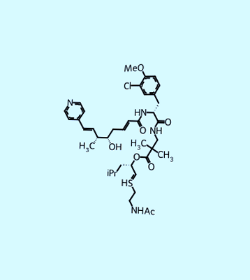 COc1ccc(C[C@@H](NC(=O)/C=C/C[C@H](O)[C@H](C)/C=C/c2ccncc2)C(=O)NCC(C)(C)C(=O)O[C@H](C=[SH]CCNC(C)=O)CC(C)C)cc1Cl